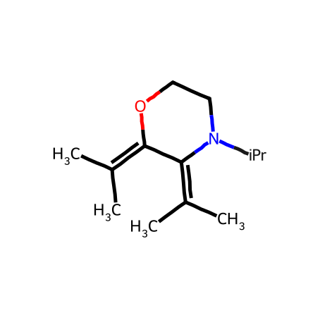 CC(C)=C1OCCN(C(C)C)C1=C(C)C